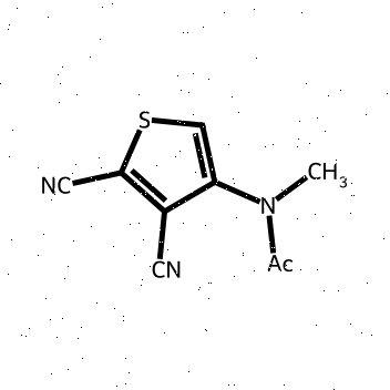 CC(=O)N(C)c1csc(C#N)c1C#N